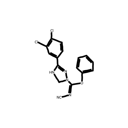 N#C/N=C(/Oc1ccccc1)N1CNC(c2ccc(Cl)c(Cl)c2)=N1